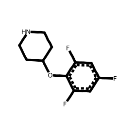 Fc1cc(F)c(OC2CCNCC2)c(F)c1